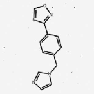 c1cn(Cc2ccc(-c3ncon3)cc2)cn1